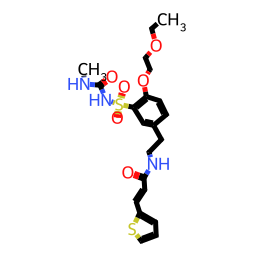 CCOCCOc1ccc(CCNC(=O)C=Cc2cccs2)cc1S(=O)(=O)NC(=O)NC